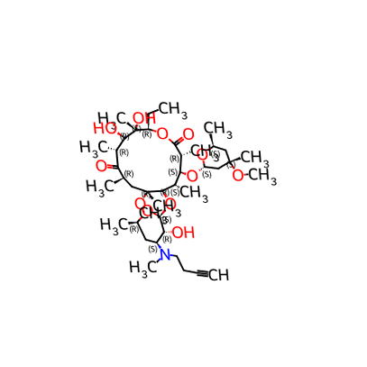 C#CCCN(C)[C@H]1C[C@@H](C)O[C@@H](O[C@@H]2[C@@H](C)[C@H](O[C@H]3C[C@@](C)(OC)C[C@H](C)O3)[C@@H](C)C(=O)O[C@H](CC)[C@@](C)(O)[C@H](O)[C@@H](C)C(=O)[C@H](C)C[C@@]2(C)OC)[C@@H]1O